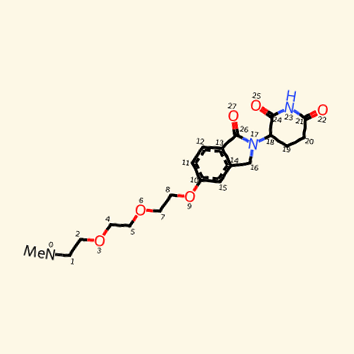 CNCCOCCOCCOc1ccc2c(c1)CN(C1CCC(=O)NC1=O)C2=O